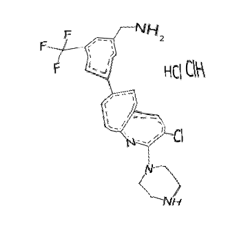 Cl.Cl.NCc1cc(-c2ccc3nc(N4CCNCC4)c(Cl)cc3c2)cc(C(F)(F)F)c1